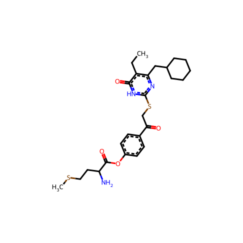 CCc1c(CC2CCCCC2)nc(SCC(=O)c2ccc(OC(=O)C(N)CCSC)cc2)[nH]c1=O